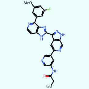 COc1cc(F)cc(-c2nccc3[nH]c(-c4n[nH]c5cnc(-c6cncc(NC(=O)CC(C)(C)C)c6)cc45)nc23)c1